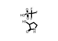 O=C1NCCC1S.O=S(=O)(O)C(F)(F)F